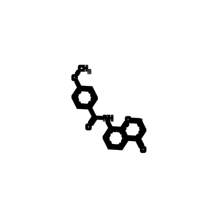 COc1ccc(C(=O)Nc2cccc3c(=O)c[c]oc23)cc1